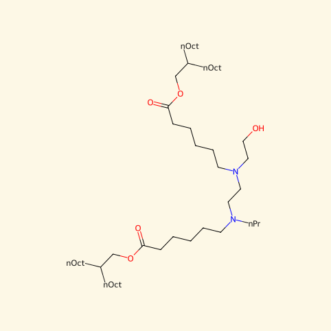 CCCCCCCCC(CCCCCCCC)COC(=O)CCCCCN(CCC)CCN(CCO)CCCCCC(=O)OCC(CCCCCCCC)CCCCCCCC